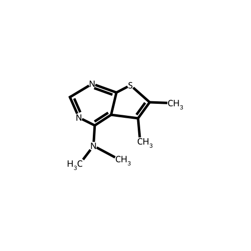 Cc1sc2ncnc(N(C)C)c2c1C